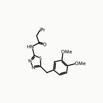 COc1ccc(Cc2nnc(NC(=O)CC(C)C)s2)cc1OC